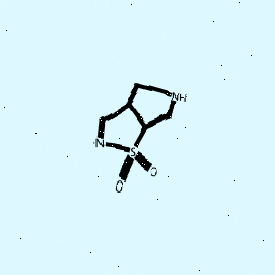 O=S1(=O)[N]CC2CNCC21